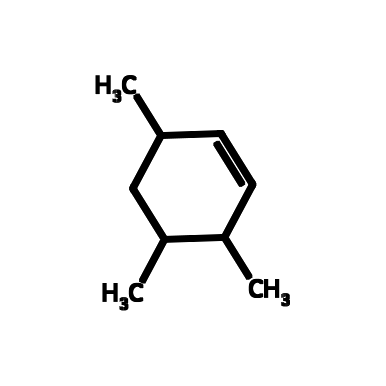 CC1C=CC(C)C(C)C1